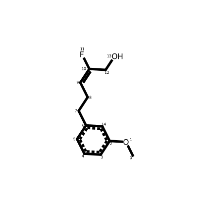 COc1cccc(CC/C=C(/F)CO)c1